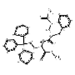 COC(=O)[C@H](CSC(c1ccccc1)(c1ccccc1)c1ccccc1)NC(=O)[C@H](CSC(C)=O)Cc1ccccc1